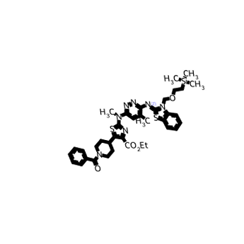 CCOC(=O)c1nc(N(C)c2cc(C)c(/N=c3\sc4ccccc4n3COCC[Si](C)(C)C)nn2)sc1C1CCN(C(=O)c2ccccc2)CC1